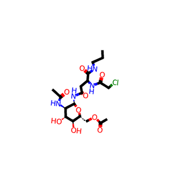 CCCNC(=O)C(CC(=O)N[C@@H]1O[C@H](COC(C)=O)[C@@H](O)[C@H](O)[C@H]1NC(C)=O)NC(=O)CCl